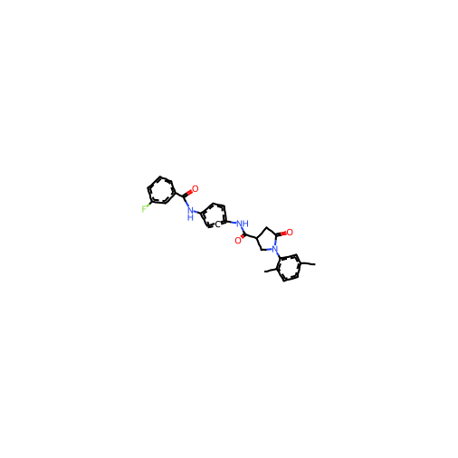 Cc1ccc(C)c(N2CC(C(=O)Nc3ccc(NC(=O)c4cccc(F)c4)cc3)CC2=O)c1